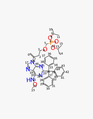 C=C(CCOCP(=O)(OC(C)C)OC(C)C)n1cnc2c(NOC)nc(C(c3ccccc3)(c3ccccc3)c3ccccc3)nc21